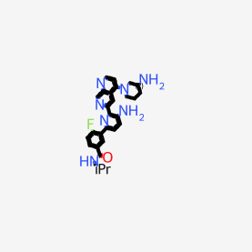 CC(C)NC(=O)c1ccc(F)c(-c2ccc(N)c(-c3cc4c(N5CCC[C@@H](N)C5)ccnc4cn3)n2)c1